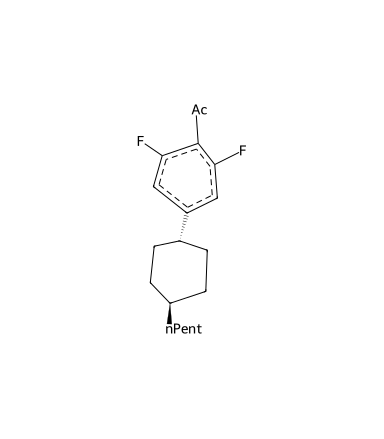 CCCCC[C@H]1CC[C@H](c2cc(F)c(C(C)=O)c(F)c2)CC1